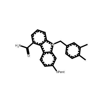 CCCCCc1c[c]c2c3c(C(N)=O)cccc3n(Cc3ccc(C)c(C)c3)c2c1